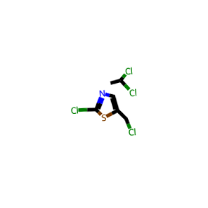 CC(Cl)Cl.ClCc1cnc(Cl)s1